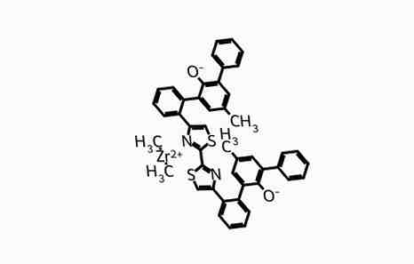 Cc1cc(-c2ccccc2)c([O-])c(-c2ccccc2-c2csc(-c3nc(-c4ccccc4-c4cc(C)cc(-c5ccccc5)c4[O-])cs3)n2)c1.[CH3][Zr+2][CH3]